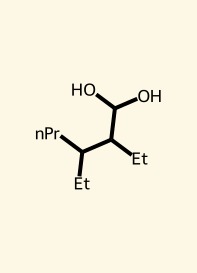 CCCC(CC)C(CC)C(O)O